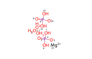 O.O.O.O=P([O-])(O)O.O=P([O-])(O)O.[Mg+2]